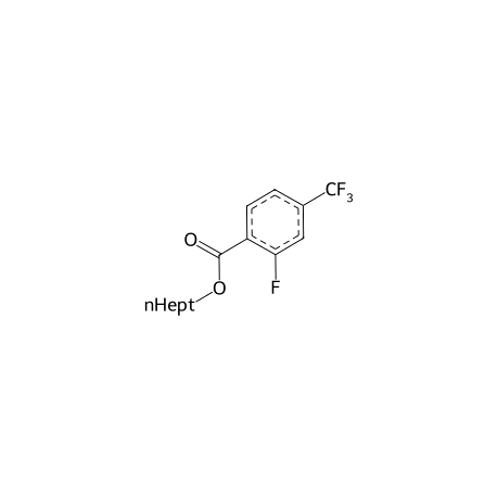 CCCCCCCOC(=O)c1ccc(C(F)(F)F)cc1F